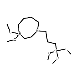 CO[Si]1(OC)CCCCN(CCC[Si](OC)(OC)OC)CC1